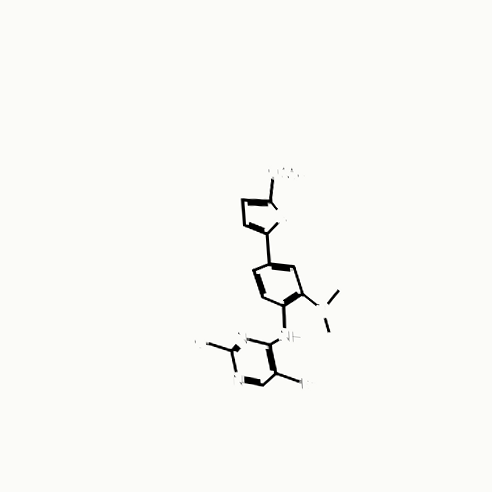 COc1ccc(-c2ccc(Nc3nc(Cl)ncc3Br)c(P(C)C)c2)s1